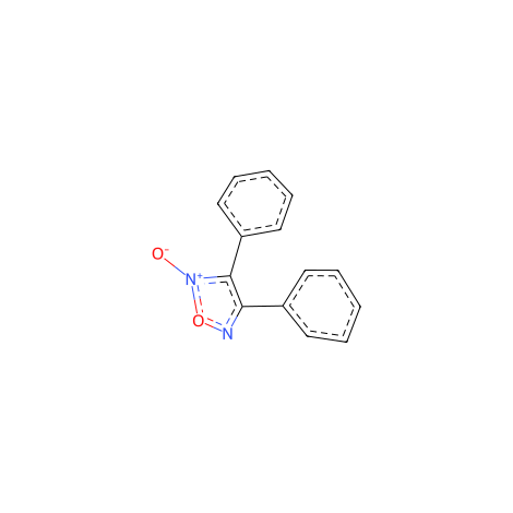 [O-][n+]1onc(-c2ccccc2)c1-c1ccccc1